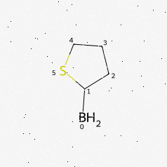 BC1CCCS1